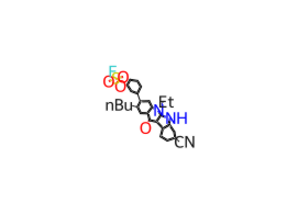 CCCCc1cc2c(=O)c3c4ccc(C#N)cc4[nH]c3n(CC)c2cc1-c1cccc(OS(=O)(=O)F)c1